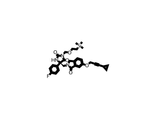 C[Si](C)(C)CCOCN1C(=O)N[C@@](CN2Cc3ccc(OCC#CC4CC4)cc3C2=O)(c2ccc(F)cc2)C1=O